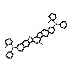 Cc1ccccc1N(c1ccccc1)c1ccc2cc3c(cc2c1)oc1c3cc(C)c2c3cc4ccc(N(c5ccccc5)c5ccccc5C)cc4cc3oc12